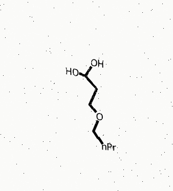 CCCCOCCC(O)O